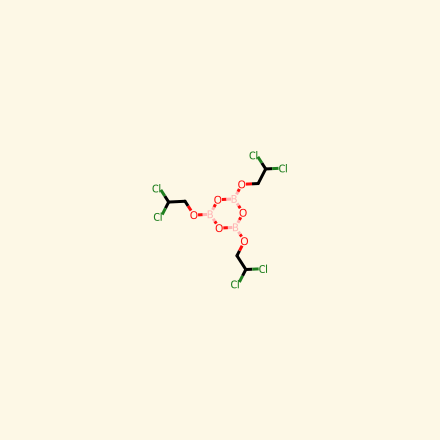 ClC(Cl)COB1OB(OCC(Cl)Cl)OB(OCC(Cl)Cl)O1